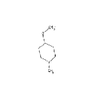 [CH2]OC1CCC(C)CC1